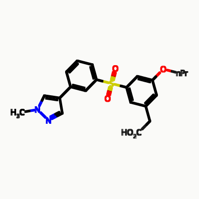 CCCOc1cc(CC(=O)O)cc(S(=O)(=O)c2cccc(-c3cnn(C)c3)c2)c1